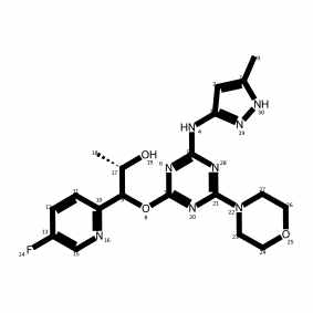 Cc1cc(Nc2nc(OC(c3ccc(F)cn3)[C@H](C)O)nc(N3CCOCC3)n2)n[nH]1